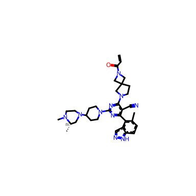 C=CC(=O)N1CC2(CCN(c3nc(N4CCC(N5CCN(C)[C@@H](C)C5)CC4)nc(-c4c(C)ccc5[nH]ncc45)c3C#N)C2)C1